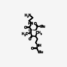 CC(CCNC(=O)C(C)(C)C)C(=O)N(C)[C@@H](CC(=O)C(C)(C)C)C(=O)NCCN